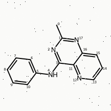 Cc1nc(Nc2ccccc2)c2ncccc2n1